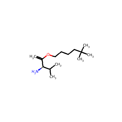 C=C(OCCCCC(C)(C)C)[C@H](N)C(C)C